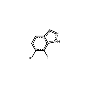 Fc1c(Br)ccc2cn[nH]c12